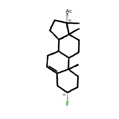 CC(=O)[C@@]1(C)CCC2C3CC=C4C[C@@H](F)CCC4(C)C3CCC21C